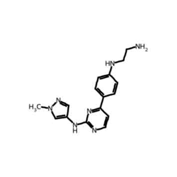 Cn1cc(Nc2nccc(-c3ccc(NCCN)cc3)n2)cn1